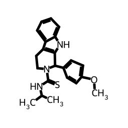 COc1ccc(C2c3[nH]c4ccccc4c3CCN2C(=S)NC(C)C)cc1